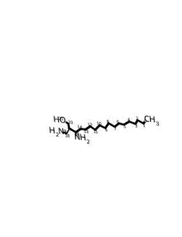 CCCCCCCCCCCCCCC[C@@H](N)[C@@H](CN)CO